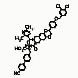 Cc1nc(C)c(C(=O)N2Cc3cc4c(cc3C[C@H]2C(=O)N[C@@H](Cc2ccc(-c3ccc(C#N)cc3)cc2)C(=O)O)OCC(c2ccc(OCc3ccc(Cl)c(Cl)c3)cc2)O4)s1